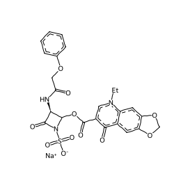 CCn1cc(C(=O)OC2[C@H](NC(=O)COc3ccccc3)C(=O)N2S(=O)(=O)[O-])c(=O)c2cc3c(cc21)OCO3.[Na+]